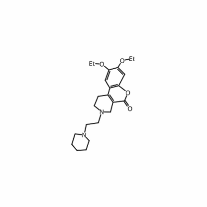 CCOc1cc2oc(=O)c3c(c2cc1OCC)CCN(CCN1CCCCC1)C3